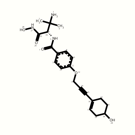 CC(C)(N)[C@H](NC(=O)c1ccc(OCC#CC2=CCC(O)CC2)cc1)C(=O)NO